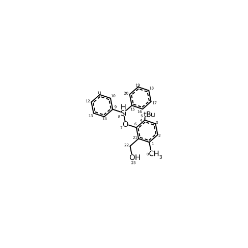 Cc1ccc(C(C)(C)C)c(O[SiH](c2ccccc2)c2ccccc2)c1CO